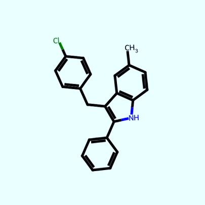 Cc1ccc2[nH]c(-c3ccccc3)c(Cc3ccc(Cl)cc3)c2c1